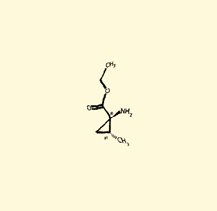 CCOC(=O)[C@@]1(N)C[C@H]1C